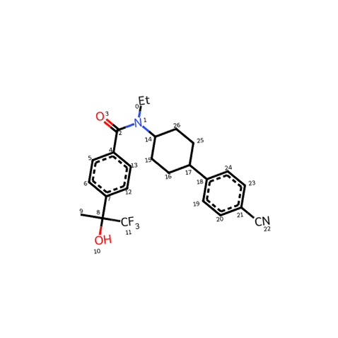 CCN(C(=O)c1ccc(C(C)(O)C(F)(F)F)cc1)C1CCC(c2ccc(C#N)cc2)CC1